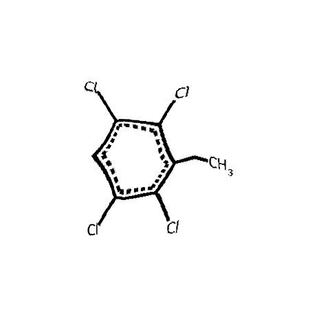 Cc1c(Cl)c(Cl)cc(Cl)c1Cl